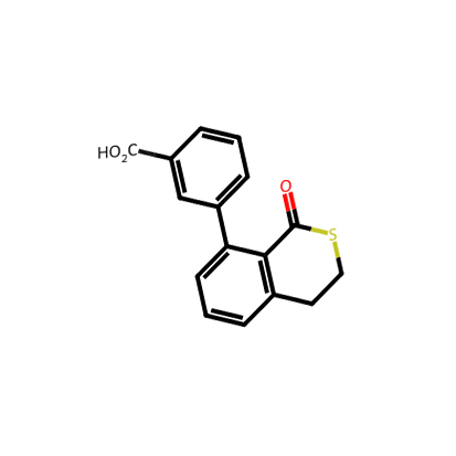 O=C(O)c1cccc(-c2cccc3c2C(=O)SCC3)c1